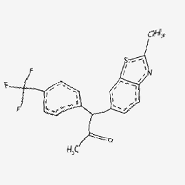 CC(=O)C(c1ccc(C(F)(F)F)cc1)c1ccc2nc(C)sc2c1